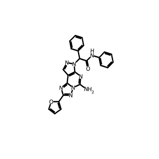 Nc1nc2c(cnn2C(C(=O)Nc2ccccc2)c2ccccc2)c2nc(-c3ccco3)nn12